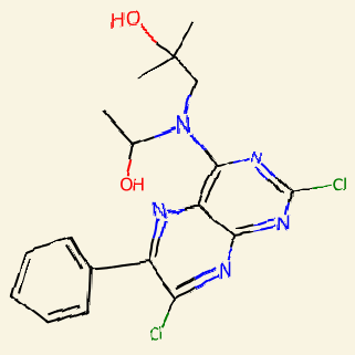 CC(O)N(CC(C)(C)O)c1nc(Cl)nc2nc(Cl)c(-c3ccccc3)nc12